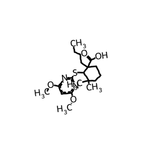 CCCCC1(C(=O)O)CCCC(C)(C)C1Sc1nc(OC)cc(OC)n1